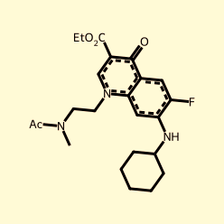 CCOC(=O)c1cn(CCN(C)C(C)=O)c2cc(NC3CCCCC3)c(F)cc2c1=O